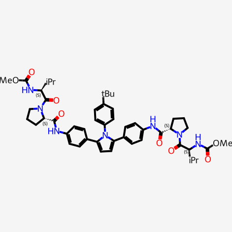 COC(=O)N[C@H](C(=O)N1CCC[C@H]1C(=O)Nc1ccc(-c2ccc(-c3ccc(NC(=O)[C@@H]4CCCN4C(=O)[C@@H](NC(=O)OC)C(C)C)cc3)n2-c2ccc(C(C)(C)C)cc2)cc1)C(C)C